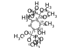 COC(OC)(c1cc(C)c(C(OC)(OC)P(=O)(O)O)c(C)c1)P(=O)(O)O